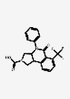 O=C(O)N1CC2c3cccc(C(F)(F)F)c3C(=O)N(c3ccccc3)C2C1